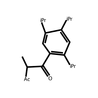 CC(=O)C(C)C(=O)c1cc(C(C)C)c(C(C)C)cc1C(C)C